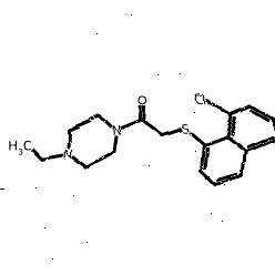 CCN1CCN(C(=O)CSc2cccc3cccc(Cl)c23)CC1